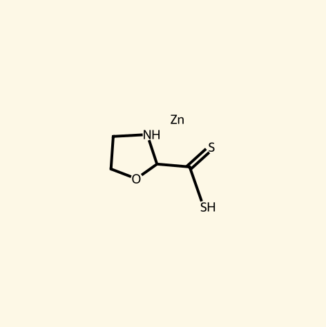 S=C(S)C1NCCO1.[Zn]